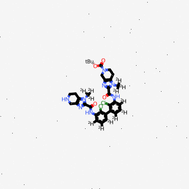 [2H]c1c([2H])c(NC(=O)c2nc3c(n2C([2H])([2H])[2H])CCNC3)c(Cl)c(-c2c([2H])c([2H])c([2H])c(NC(=O)c3nc4c(n3C([2H])([2H])[2H])CCN(C(=O)OC(C)(C)C)C4)c2Cl)c1[2H]